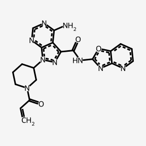 C=CC(=O)N1CCCC(n2nc(C(=O)Nc3nc4ncccc4o3)c3c(N)ncnc32)C1